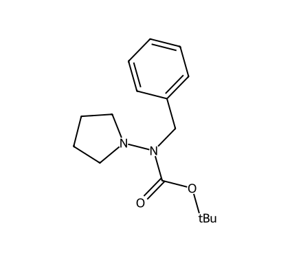 CC(C)(C)OC(=O)N(Cc1ccccc1)N1CCCC1